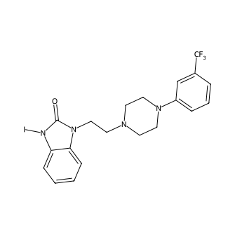 O=c1n(I)c2ccccc2n1CCN1CCN(c2cccc(C(F)(F)F)c2)CC1